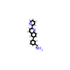 NCc1cccc(-c2ccc3nc(-c4ccccn4)ccc3c2)c1